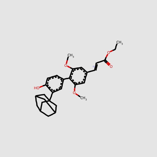 CCOC(=O)/C=C/c1cc(OC)c(-c2ccc(O)c(C34CC5CC(CC(C5)C3)C4)c2)c(OC)c1